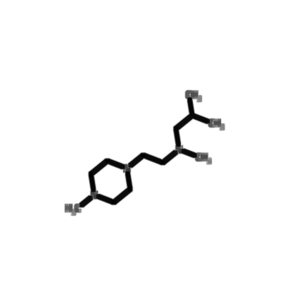 CC(C)CN(C)CCN1CCN(C)CC1